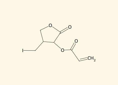 C=CC(=O)OC1C(=O)OCC1CI